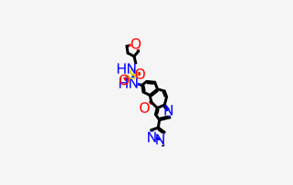 Cn1cc(-c2cnc3ccc4ccc(NS(=O)(=O)NCC5CCOC5)cc4c(=O)c3c2)cn1